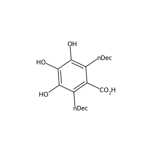 CCCCCCCCCCc1c(O)c(O)c(O)c(CCCCCCCCCC)c1C(=O)O